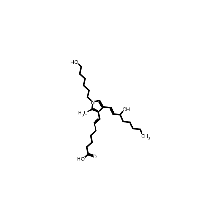 CCCCCC(O)C=Cc1cn(CCCCCCO)c(C)c1C=CCCCCC(=O)O